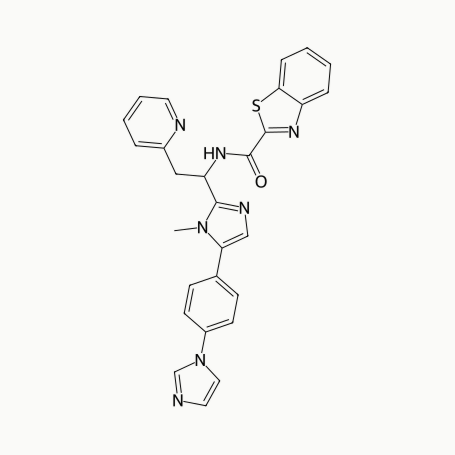 Cn1c(-c2ccc(-n3ccnc3)cc2)cnc1C(Cc1ccccn1)NC(=O)c1nc2ccccc2s1